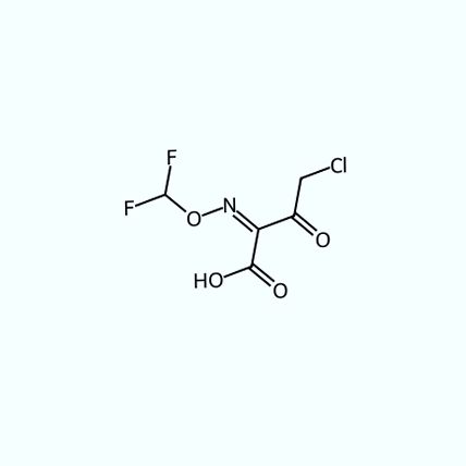 O=C(O)C(=NOC(F)F)C(=O)CCl